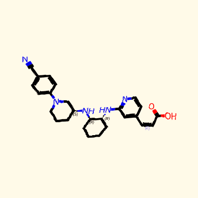 N#Cc1ccc(N2CCC[C@H](N[C@@H]3CCCC[C@H]3Nc3cc(/C=C\C(=O)O)ccn3)C2)cc1